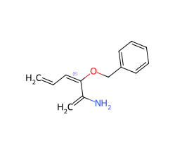 C=C/C=C(/OCc1ccccc1)C(=C)N